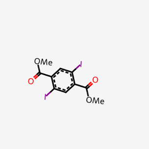 COC(=O)c1cc(I)c(C(=O)OC)cc1I